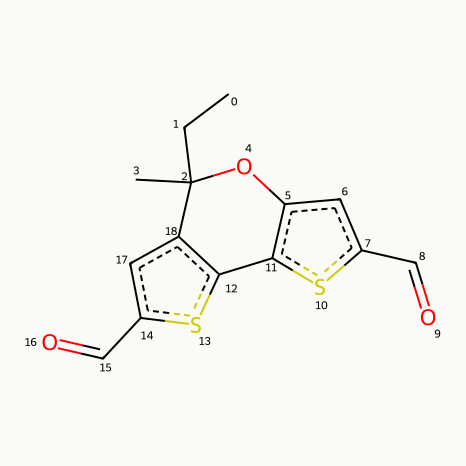 CCC1(C)Oc2cc(C=O)sc2-c2sc(C=O)cc21